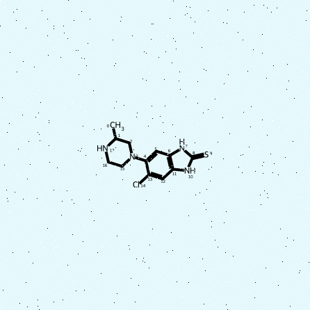 CC1CN(c2cc3[nH]c(=S)[nH]c3cc2Cl)CCN1